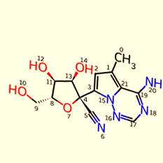 Cc1cc([C@]2(C#N)O[C@H](CO)[C@@H](O)[C@H]2O)n2ncnc(N)c12